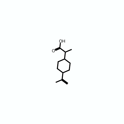 C=C(C)C1CCC(C(C)C(=O)O)CC1